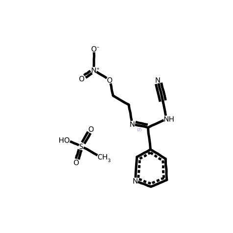 CS(=O)(=O)O.N#CN/C(=N\CCO[N+](=O)[O-])c1cccnc1